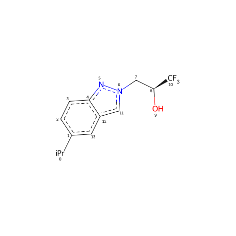 CC(C)c1ccc2nn(C[C@H](O)C(F)(F)F)cc2c1